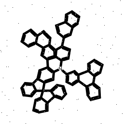 c1ccc2c(c1)-c1ccccc1C21c2ccccc2-c2cc(-c3ccc4ccc5ccccc5c4c3)c(N(c3ccc(-c4ccc5ccccc5c4)cc3)c3ccc4c5ccccc5c5ccccc5c4c3)cc21